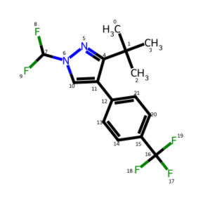 CC(C)(C)c1nn(C(F)F)cc1-c1ccc(C(F)(F)F)cc1